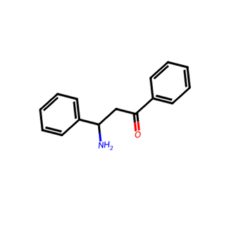 NC(CC(=O)c1ccccc1)c1ccccc1